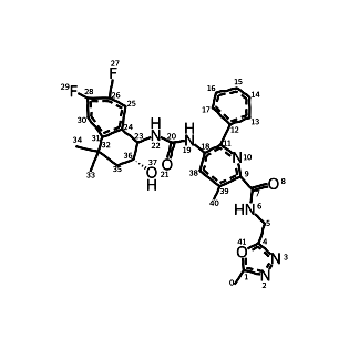 Cc1nnc(CNC(=O)c2nc(-c3ccccc3)c(NC(=O)NC3c4cc(F)c(F)cc4C(C)(C)C[C@H]3O)cc2C)o1